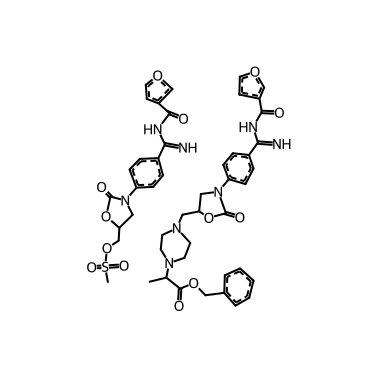 CC(C(=O)OCc1ccccc1)N1CCN(CC2CN(c3ccc(C(=N)NC(=O)c4ccoc4)cc3)C(=O)O2)CC1.CS(=O)(=O)OCC1CN(c2ccc(C(=N)NC(=O)c3ccoc3)cc2)C(=O)O1